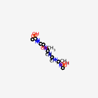 Cc1cc(N=Nc2cc(C)c(N=Nc3ccc4cc(-n5nc6cc(S(=O)(=O)O)c7ccccc7c6n5)ccc4c3O)cc2C)ccc1N=Nc1ccc(N=Nc2ccccc2S(=O)(=O)O)c(C)c1